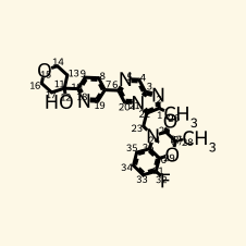 Cc1nc2cnc(-c3ccc(C4(O)CCOCC4)nc3)cn2c1CN1C(=O)[C@@H](C)Oc2c(F)cccc21